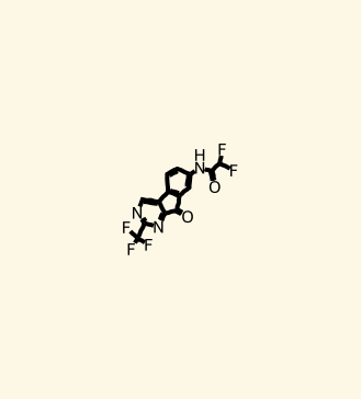 O=C1c2cc(NC(=O)C(F)F)ccc2-c2cnc(C(F)(F)F)nc21